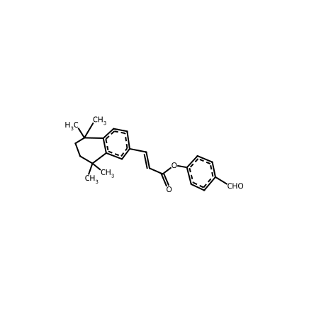 CC1(C)CCC(C)(C)c2cc(C=CC(=O)Oc3ccc(C=O)cc3)ccc21